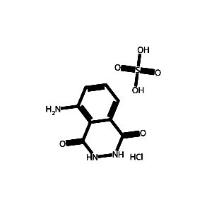 Cl.Nc1cccc2c(=O)[nH][nH]c(=O)c12.O=S(=O)(O)O